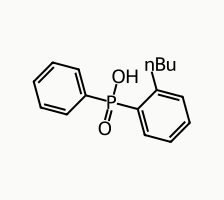 CCCCc1ccccc1P(=O)(O)c1ccccc1